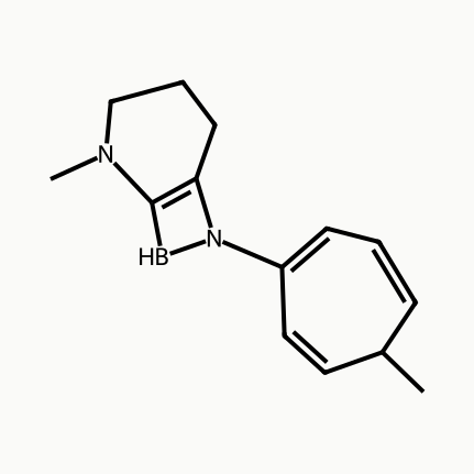 CC1C=CC=C(N2BC3=C2CCCN3C)C=C1